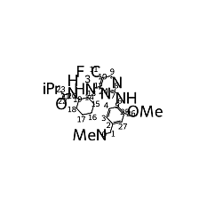 CNCc1ccc(Nc2ncc(C(F)(F)F)c(N[C@@H]3CCCC[C@H]3NC(=O)C(C)C)n2)c(OC)c1